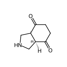 O=C1CCC(=O)[C@H]2CNC[C]12